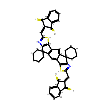 S=C1C(=Cc2nc3c(s2)-c2cc4c(cc2C32CCCCC2)-c2sc(C=C3C(=S)c5ccccc5C3=S)nc2C42CCCCC2)C(=S)c2ccccc21